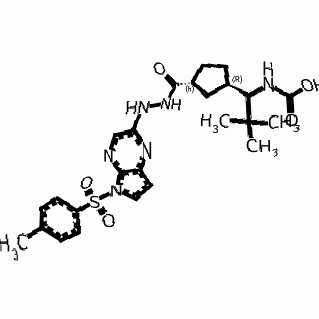 Cc1ccc(S(=O)(=O)n2ccc3nc(NNC(=O)[C@@H]4CC[C@@H](C(NC(=O)O)C(C)(C)C)C4)cnc32)cc1